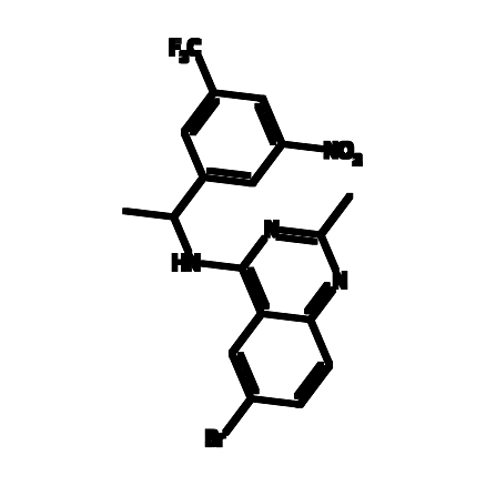 Cc1nc(NC(C)c2cc([N+](=O)[O-])cc(C(F)(F)F)c2)c2cc(Br)ccc2n1